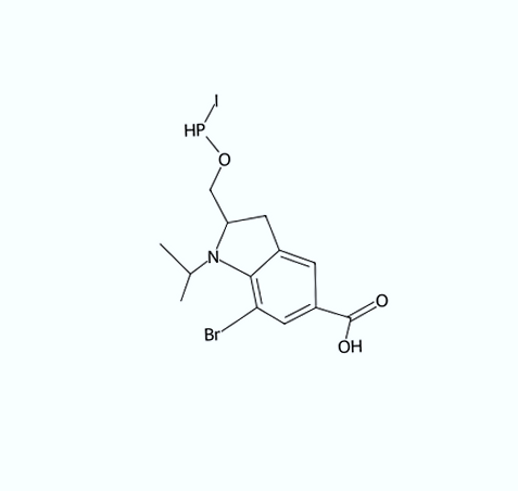 CC(C)N1c2c(Br)cc(C(=O)O)cc2CC1COPI